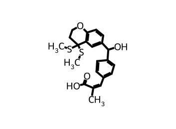 CSC1(SC)CCOc2ccc(C(O)c3ccc(C=C(C)C(=O)O)cc3)cc21